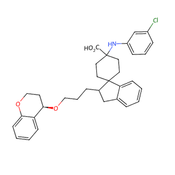 O=C(O)C1(Nc2cccc(Cl)c2)CCC2(CC1)c1ccccc1CC2CCCO[C@@H]1CCOc2ccccc21